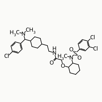 CN(C)C(c1ccc(Cl)cc1)C1CCC(CCNC(=O)COC2CCCCC2N(C)S(=O)(=O)c2ccc(Cl)c(Cl)c2)CC1